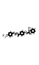 C/C(=N\OCc1ccc(C(F)(F)F)cc1)c1ccc(OCc2nc3ccccc3[nH]2)cc1